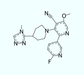 COc1cnc(-c2ccc(F)nc2)c(N2CCC(c3nncn3C)CC2)c1C#N